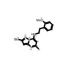 COc1ccccc1CCNc1cc(C)nc2cc(C(C)(C)C)nn12